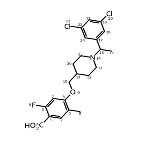 Cc1cc(C(=O)O)c(F)cc1OCC1CCN(C(C)c2cc(Cl)cc(Cl)c2)CC1